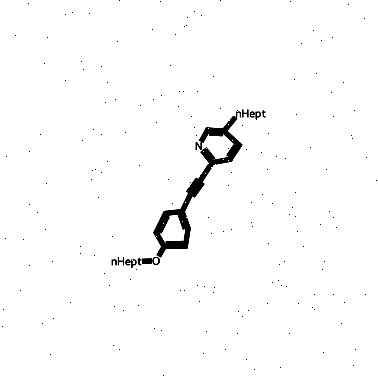 CCCCCCCOc1ccc(C#Cc2ccc(CCCCCCC)cn2)cc1